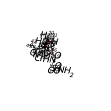 NOS(=O)(=O)CCNC(=O)c1cc(F)c2nc([C@]3(O)[C@@H]4CC[C@H]3C[C@H](OCc3c(-c5c(Cl)cccc5Cl)noc3C3CC3)C4)sc2c1